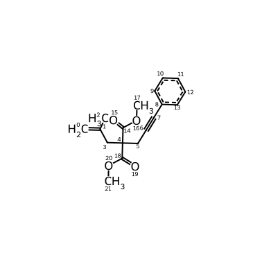 C=C(C)CC(CC#Cc1ccccc1)(C(=O)OC)C(=O)OC